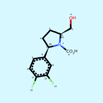 O=C(O)N1[C@H](CO)CC[C@@H]1c1ccc(F)c(F)c1